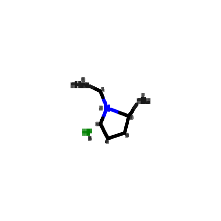 CCCCCCCN1CCCC1CCCC.F